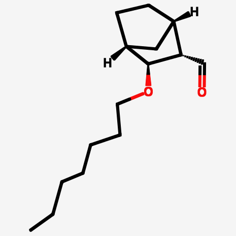 CCCCCCCO[C@H]1[C@@H]2CC[C@@H](C2)[C@@H]1C=O